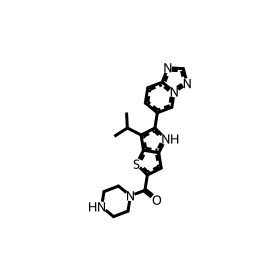 CC(C)c1c(-c2ccc3ncnn3c2)[nH]c2cc(C(=O)N3CCNCC3)sc12